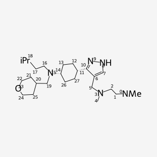 CNCCN(C)Cc1c[nH]nc1[C@H]1CC[C@@H](N(CCC(C)C)CC2CCOCC2)CC1